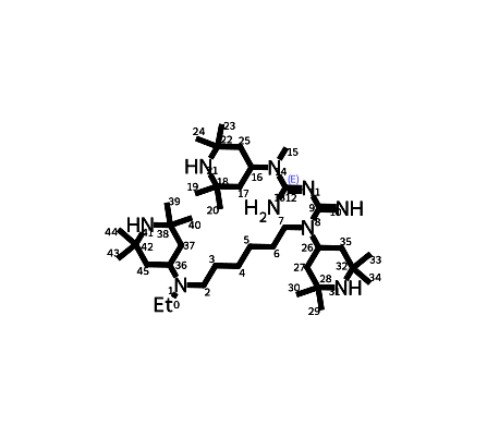 CCN(CCCCCCN(C(=N)/N=C(\N)N(C)C1CC(C)(C)NC(C)(C)C1)C1CC(C)(C)NC(C)(C)C1)C1CC(C)(C)NC(C)(C)C1